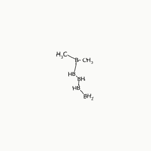 BBBBB(C)C